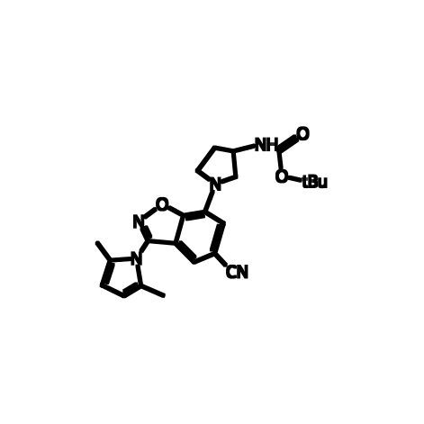 Cc1ccc(C)n1-c1noc2c(N3CCC(NC(=O)OC(C)(C)C)C3)cc(C#N)cc12